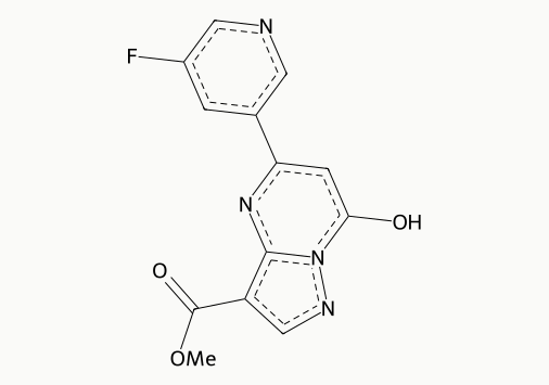 COC(=O)c1cnn2c(O)cc(-c3cncc(F)c3)nc12